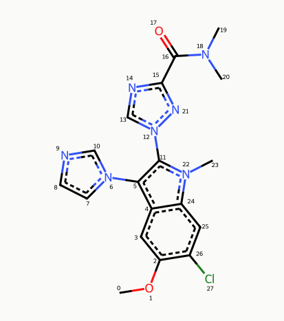 COc1cc2c(-n3ccnc3)c(-n3cnc(C(=O)N(C)C)n3)n(C)c2cc1Cl